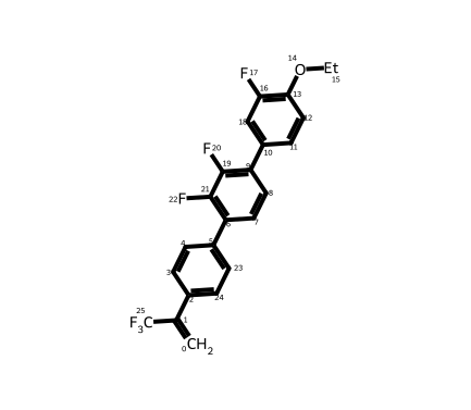 C=C(c1ccc(-c2ccc(-c3ccc(OCC)c(F)c3)c(F)c2F)cc1)C(F)(F)F